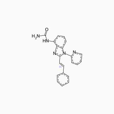 NC(=O)Nc1cccc2c1nc(/C=C/c1ccccc1)n2-c1ccccn1